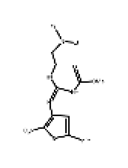 CCCc1cc(N=C(NCCN(CC)CC)NC(=O)OC)c([N+](=O)[O-])s1